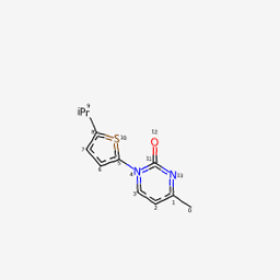 Cc1ccn(-c2ccc(C(C)C)s2)c(=O)n1